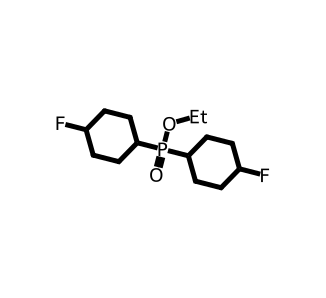 CCOP(=O)(C1CCC(F)CC1)C1CCC(F)CC1